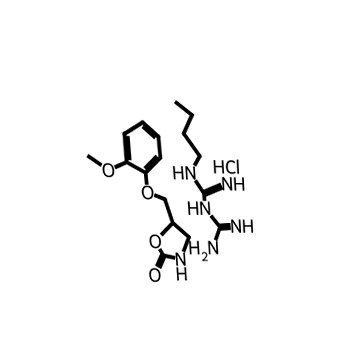 CCCCNC(=N)NC(=N)N.COc1ccccc1OCC1CNC(=O)O1.Cl